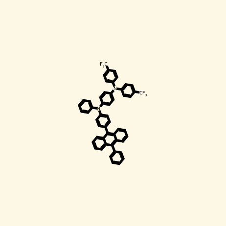 FC(F)(F)c1ccc(N(c2ccc(N(c3ccccc3)c3ccc(-c4c5ccccc5c(-c5ccccc5)c5ccccc45)cc3)cc2)c2ccc(C(F)(F)F)cc2)cc1